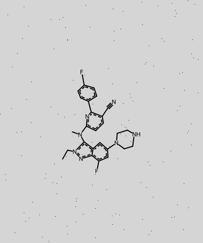 CCn1nc2c(F)cc(N3CCNCC3)cc2c1N(C)c1ccc(C#N)c(-c2ccc(F)cc2)n1